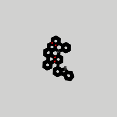 c1ccc(-c2ccccc2N(c2ccc(-c3cccc4c3sc3ccccc34)cc2)c2cccc3ccc4c5ccccc5ccc4c23)cc1